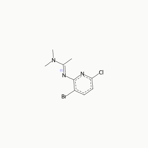 C/C(=N\c1nc(Cl)ccc1Br)N(C)C